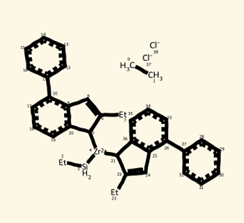 CC.CC[SiH2][Zr+2]([CH]1C(CC)=Cc2c(-c3ccccc3)cccc21)[CH]1C(CC)=Cc2c(-c3ccccc3)cccc21.[Cl-].[Cl-]